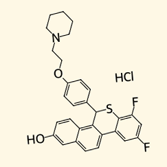 Cl.Oc1ccc2c3c(ccc2c1)-c1cc(F)cc(F)c1SC3c1ccc(OCCN2CCCCC2)cc1